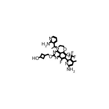 Cc1cc(N)nc(-c2c(Cl)c3c4c(nc(OCC5CC(O)C5)nc4c2F)N([C@@H](C)c2cccnc2N)CCO3)c1C(F)(F)F